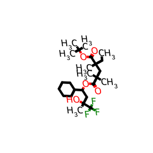 CCC(C)(CC(C)(C)C(=O)OC(CC(C)(O)C(F)(F)F)C1CCCCC1)C(=O)OC(C)(C)C